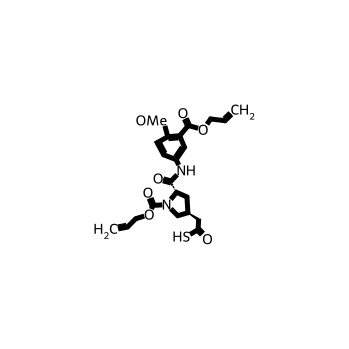 C=CCOC(=O)c1cc(NC(=O)[C@@H]2C[C@@H](CC(=O)S)CN2C(=O)OCC=C)ccc1OC